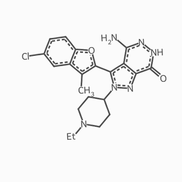 CCN1CCC(n2nc3c(=O)[nH]nc(N)c3c2-c2oc3ccc(Cl)cc3c2C)CC1